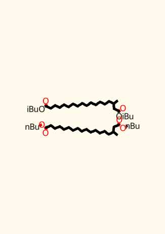 CC(C)COC(=O)CCCCCCCCCCCCCCC(C)CC(=O)OCC(C)C.CCCCOC(=O)CCCCCCCCCCCCCCC(C)CC(=O)OCCCC